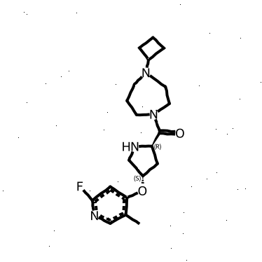 Cc1cnc(F)cc1O[C@@H]1CN[C@@H](C(=O)N2CCCN(C3CCC3)CC2)C1